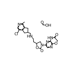 Cc1ncc(Cl)c2c1CC(CNCCC1CN(c3cnc4c(n3)NC(=O)CO4)C(=O)O1)C2.O=CO